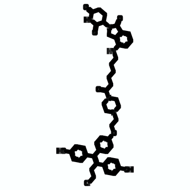 O=C1CCC(N2Cc3c(NCCCCCC(=O)N4CCN(CCOc5ccc(C(=C(CCCl)c6ccc(O)cc6)c6ccc(O)cc6)cc5)CC4)cccc3C2=O)C(=O)N1